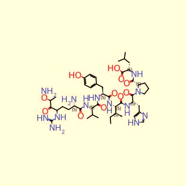 CC[C@H](C)[C@H](NC(=O)[C@H](Cc1ccc(O)cc1)NC(=O)[C@@H](NC(=O)[C@@H](N)CCC(NC(=N)N)C(=O)C(C)ON)C(C)C)C(=O)N[C@@H](Cc1c[nH]cn1)C(=O)N1CCC[C@H]1C(=O)N[C@@H](CC(C)C)C(=O)O